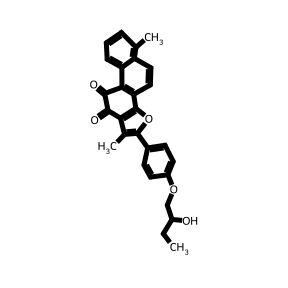 CCC(O)COc1ccc(-c2oc3c(c2C)C(=O)C(=O)c2c-3ccc3c(C)cccc23)cc1